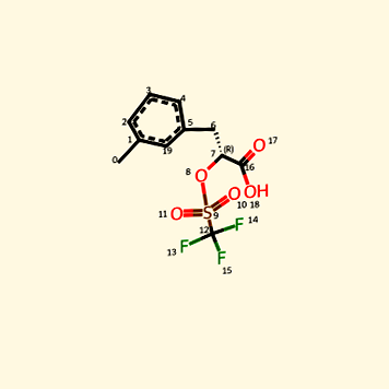 Cc1cccc(C[C@@H](OS(=O)(=O)C(F)(F)F)C(=O)O)c1